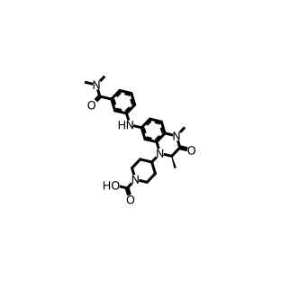 C[C@@H]1C(=O)N(C)c2ccc(Nc3cccc(C(=O)N(C)C)c3)cc2N1C1CCN(C(=O)O)CC1